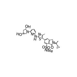 CNS(=O)(=O)c1cc(-c2sc(Nc3cccc(N4C[C@H](O)CC4O)n3)nc2C)cc2c1C(=O)N([C@@H](C)C1CC1)C2